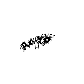 CN1C(=O)C(NC(=O)n2cc(Cc3cccnc3F)cn2)COc2ccc(Br)cc21